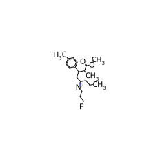 CCC/C(CC(c1ccc(C)cc1)C(C)C(=O)OC)=N\CCCF